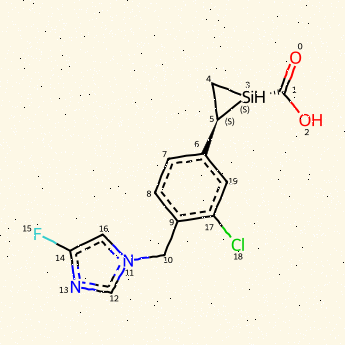 O=C(O)[Si@H]1C[C@@H]1c1ccc(Cn2cnc(F)c2)c(Cl)c1